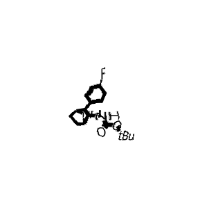 CC(C)(C)OC(=O)NC1C2CCC(N2)C1C1=CC[C@H](F)C=C1